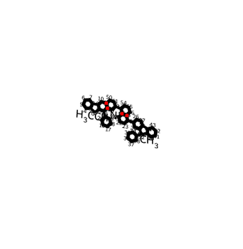 CC1(C)c2ccccc2-c2cccc(-c3ccccc3N(c3ccc(-c4ccc5c(c4)C(C)(c4ccccc4)c4ccccc4-5)cc3)c3ccccc3-c3ccccc3)c21